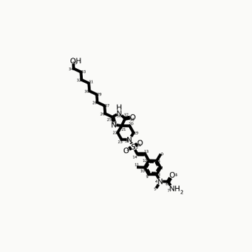 Cc1cc(N(C)C(N)=O)cc(C)c1/C=C/S(=O)(=O)N1CCC2(CC1)N=C(CCCCCCCCCO)NC2=O